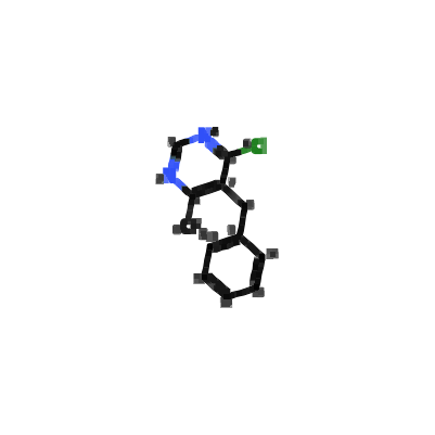 FC(F)(F)c1ncnc(Cl)c1Cc1ccccc1